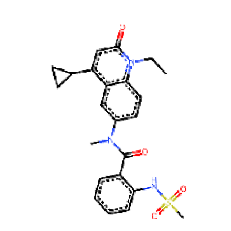 CCn1c(=O)cc(C2CC2)c2cc(N(C)C(=O)c3ccccc3NS(C)(=O)=O)ccc21